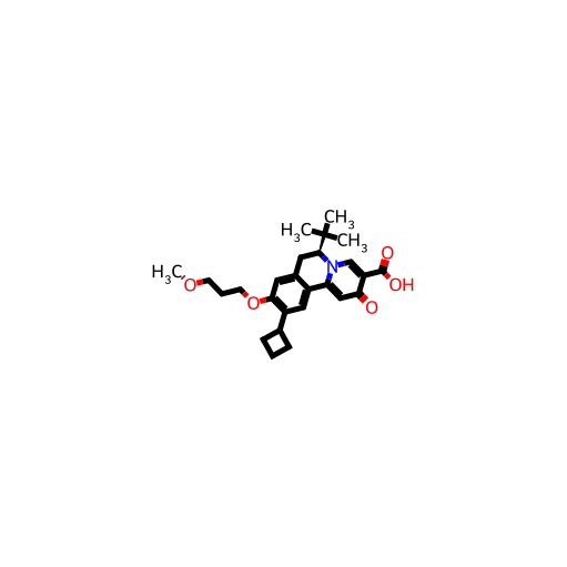 COCCCOc1cc2c(cc1C1CCC1)-c1cc(=O)c(C(=O)O)cn1[C@H](C(C)(C)C)C2